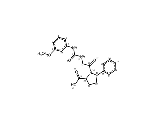 COc1cccc(NC(=O)NCC(=O)N2C(c3ccccc3)CC[C@H]2C(=O)O)c1